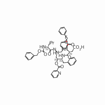 CC(C)[C@H](NC(=O)OCc1ccccc1)C(=O)NN(Cc1ccc(F)cc1)C[C@H](OC(=O)c1ccccn1)[C@H](Cc1ccccc1)NC(=O)[C@H](CC(=O)O)NC(=O)OCc1ccccc1